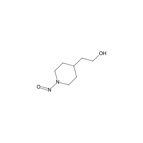 O=NN1CCC(CCO)CC1